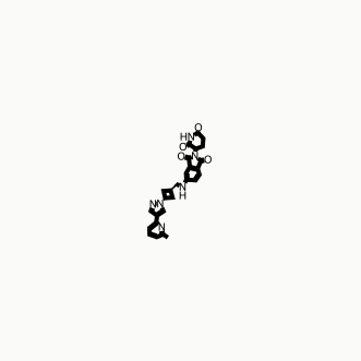 Cc1cccc(-c2cnn([C@H]3C[C@H](CNc4ccc5c(c4)C(=O)N(C4CCC(=O)NC4=O)C5=O)C3)c2)n1